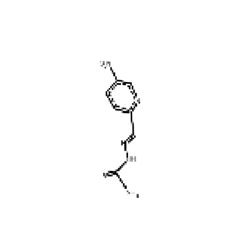 NC(=S)NN=Cc1ccc([N+](=O)[O-])cn1